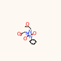 O=c1n(-c2ccccc2)c(=O)n(CC2CO2)n1CC1CO1